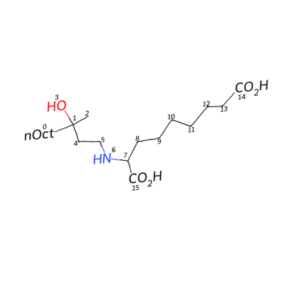 CCCCCCCCC(C)(O)CCNC(CCCCCCC(=O)O)C(=O)O